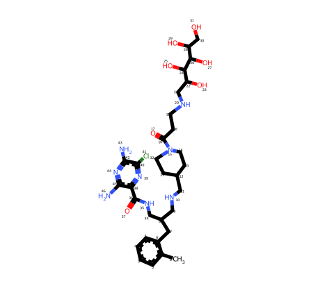 Cc1ccccc1CC(CNCC1CCN(C(=O)CCNCC(O)C(O)C(O)C(O)CO)CC1)CNC(=O)c1nc(Cl)c(N)nc1N